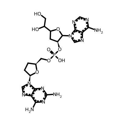 Nc1nc(N)c2ncn([C@H]3CC[C@@H](COP(=O)(O)O[C@H]4CC(C(O)CO)OC4n4cnc5c(N)ncnc54)O3)c2n1